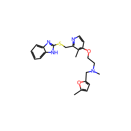 Cc1ccc(CN(C)CCOc2ccnc(CSc3nc4ccccc4[nH]3)c2C)o1